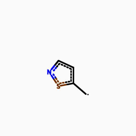 [CH2]c1ccns1